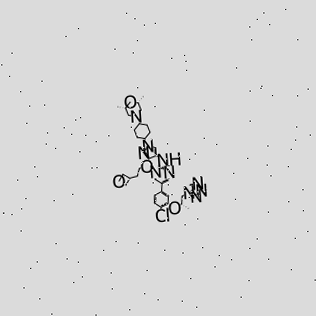 C[C@@H]1CN(C2CCC(n3cc(Nc4ncc(-c5ccc(Cl)c(O[C@@H](C)Cn6cnnn6)c5)cn4)c(OCCC4COC4)n3)CC2)C[C@H](C)O1